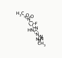 CC[C@H]1CN(c2ccc(-c3nc4c([nH]3)CN(c3nnn(C)n3)C4)c(F)c2)C(=O)O1